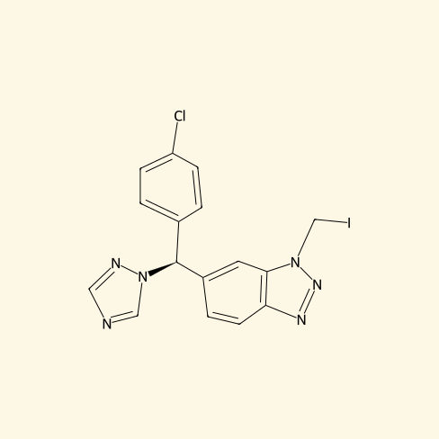 Clc1ccc([C@@H](c2ccc3nnn(CI)c3c2)n2cncn2)cc1